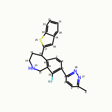 Cc1ccc(-c2ccc3c(c2F)CNCCC3c2cc3ccccc3s2)nn1